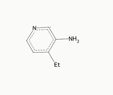 CCc1ccn[c]c1N